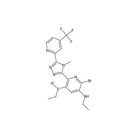 CCNc1cc([S+]([O-])CC)c(-c2nnc(-c3cc(C(F)(F)F)ccn3)n2C)nc1Br